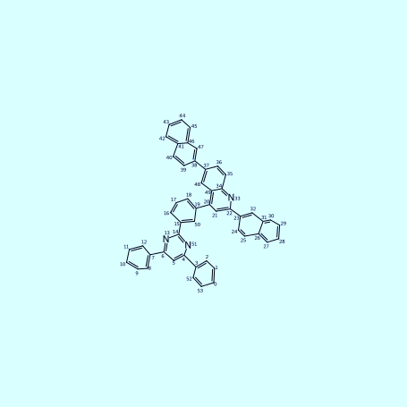 c1ccc(-c2cc(-c3ccccc3)nc(-c3cccc(-c4cc(-c5ccc6ccccc6c5)nc5ccc(-c6ccc7ccccc7c6)cc45)c3)n2)cc1